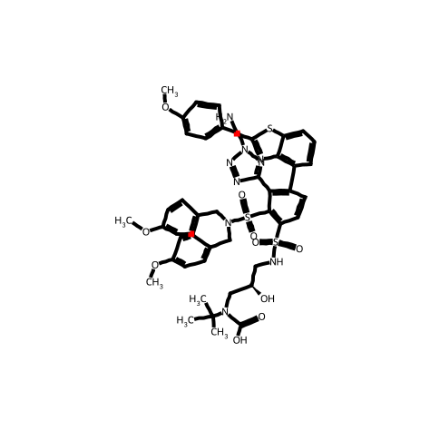 COc1ccc(CN(Cc2ccc(OC)cc2)S(=O)(=O)c2c(S(=O)(=O)NC[C@@H](O)CN(C(=O)O)C(C)(C)C)ccc(-c3cccc4sc(CN)nc34)c2-c2nnn(Cc3ccc(OC)cc3)n2)cc1